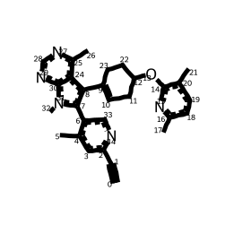 C#Cc1cc(C)c(-c2c(C3=CCC(Oc4nc(C)ccc4C)CC3)c3c(C)ncnc3n2C)cn1